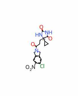 O=C1NC(=O)[C@](CCC(=O)N2Cc3cc(Cl)c([N+](=O)[O-])cc3C2)(C2CC2)N1